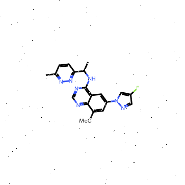 COc1cc(-n2cc(F)cn2)cc2c(NC(C)c3ccc(C)nn3)ncnc12